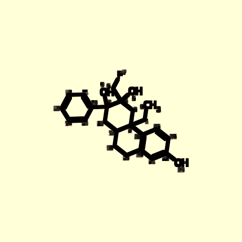 CCC12CC(O)(CF)C(O)(c3ccccc3)CC1CCc1cc(O)ccc12